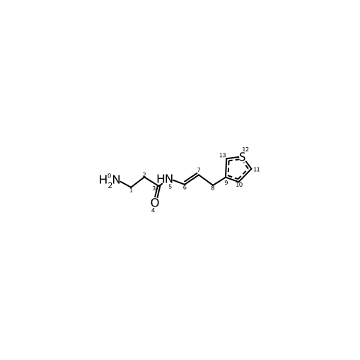 NCCC(=O)NC=CCc1ccsc1